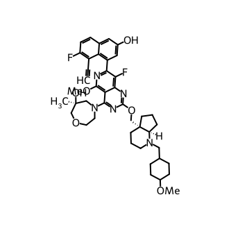 C#Cc1c(F)ccc2cc(O)cc(-c3nc(OC)c4c(N5CCOC[C@@](C)(O)C5)nc(OC[C@]56CCC[C@H]5N(CC5CCC(OC)CC5)CCC6)nc4c3F)c12